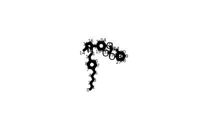 CCCCCCc1ccc(CCn2c(C)ccc2-c2ccc(O[C@H](Cc3ccccc3)C(=O)O)cc2)cc1